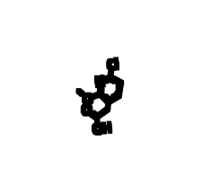 COc1nc(Cl)ccc1CC(=O)O